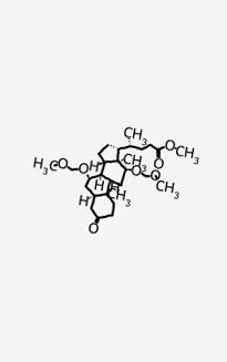 COCO[C@H]1C[C@H]2[C@@H]([C@H](OCOC)C[C@@H]3CC(=O)CC[C@@]32C)[C@@H]2CC[C@H]([C@H](C)CCC(=O)OC)[C@@]12C